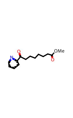 COC(=O)CCCCCCC(=O)c1ccccn1